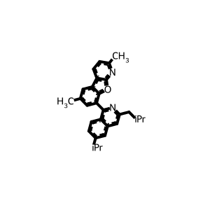 Cc1cc(-c2nc(CC(C)C)cc3cc(C(C)C)ccc23)c2oc3nc(C)ccc3c2c1